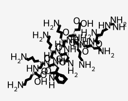 N=C(N)NCCC[C@H](N)C(=O)N[C@@H](CCN)C(=O)N[C@@H](CCCCN)C(=O)N[C@@H](CCC(=O)O)C(=O)N[C@@H](CCCCN)C(=O)N[C@@H](CC(N)=O)C(=O)N[C@@H](CCCCN)C(=O)N[C@@H](Cc1c[nH]c2ccccc12)C(=O)N[C@@H](CCCCN)C(=O)N[C@@H](CCCCN)C(=O)O